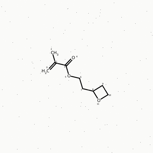 C=C(C)C(=O)OCC[C]1CCO1